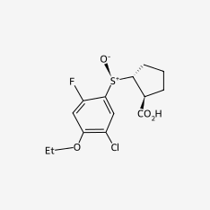 CCOc1cc(F)c([S@@+]([O-])[C@@H]2CCC[C@H]2C(=O)O)cc1Cl